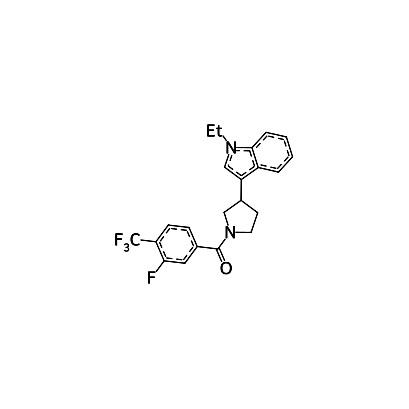 CCn1cc(C2CCN(C(=O)c3ccc(C(F)(F)F)c(F)c3)C2)c2ccccc21